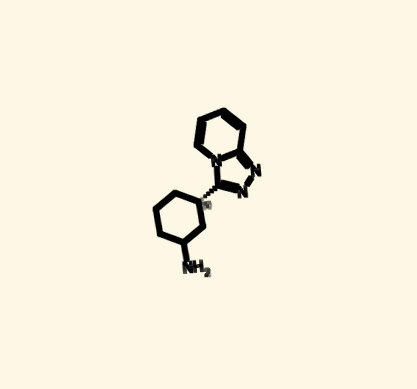 NC1CCC[C@H](c2nnc3ccccn23)C1